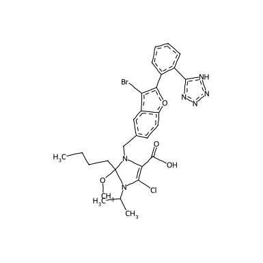 CCCCC1(OC)N(Cc2ccc3oc(-c4ccccc4-c4nnn[nH]4)c(Br)c3c2)C(C(=O)O)=C(Cl)N1C(C)C